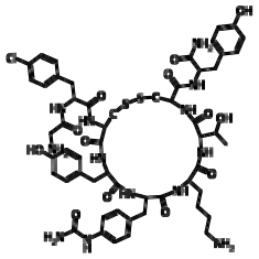 CC(O)C1NC(=O)C(CCCCN)NC(=O)C(Cc2ccc(NC(N)=O)cc2)NC(=O)C(Cc2ccc(O)cc2)NC(=O)C(NC(=O)C(Cc2ccc(Cl)cc2)NC(=O)CN)CSSCC(C(=O)NC(Cc2ccc(O)cc2)C(N)=O)NC1=O